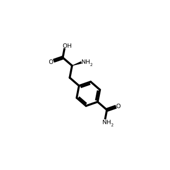 NC(=O)c1ccc(C[C@H](N)C(=O)O)cc1